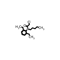 CCCCCN(C(=O)CCl)c1c(CC)cccc1CC